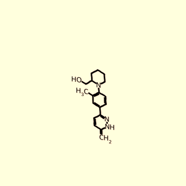 C=C1C=CC(c2ccc(N3CCCCC3CO)c(C)c2)=NN1